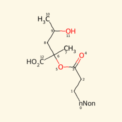 CCCCCCCCCCCC(=O)OC(C)(CC(C)O)C(=O)O